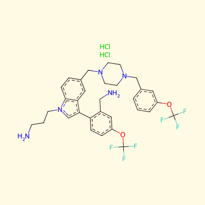 Cl.Cl.NCCCn1cc(-c2ccc(OC(F)(F)F)cc2CN)c2cc(CN3CCN(Cc4cccc(OC(F)(F)F)c4)CC3)ccc21